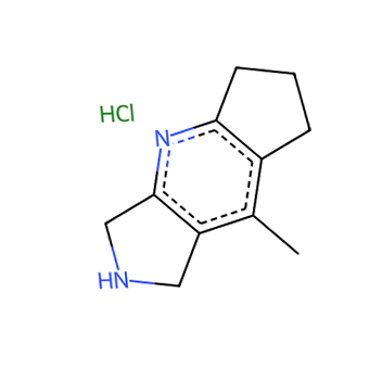 Cc1c2c(nc3c1CNC3)CCC2.Cl